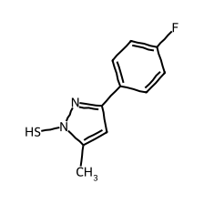 Cc1cc(-c2ccc(F)cc2)nn1S